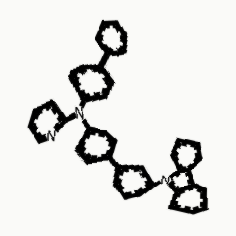 c1ccc(-c2ccc(N(c3ccc(-c4cccc(-n5c6ccccc6c6ccccc65)c4)cc3)c3ccccn3)cc2)cc1